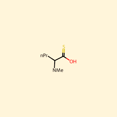 CCCC(NC)C(O)=S